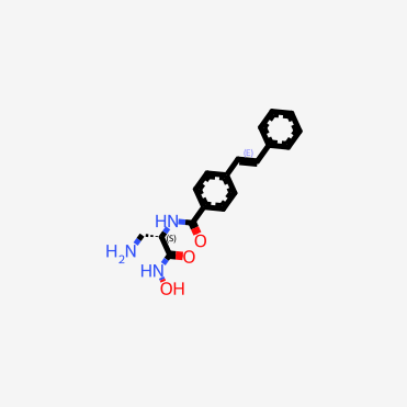 NC[C@H](NC(=O)c1ccc(/C=C/c2ccccc2)cc1)C(=O)NO